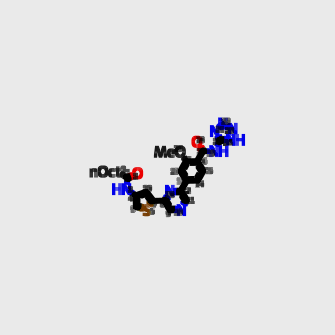 CCCCCCCCC(=O)Nc1csc(-c2cncc(-c3ccc(C(=O)Nc4nnn[nH]4)c(OC)c3)n2)c1